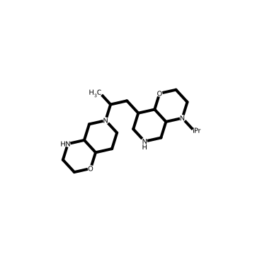 CC(CC1CNCC2C1OCCN2C(C)C)N1CCC2OCCNC2C1